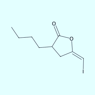 CCCCC1CC(=CI)OC1=O